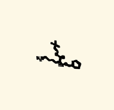 C[Si](C)(C)CCOC(=O)C(CCCCN)NOCc1ccccc1